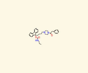 CCCNC(=O)OC1(CCCCN2CCN(C(=O)Cc3ccccc3)CC2)c2ccccc2-c2ccccc21